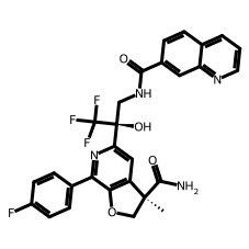 C[C@]1(C(N)=O)COc2c1cc([C@@](O)(CNC(=O)c1ccc3cccnc3c1)C(F)(F)F)nc2-c1ccc(F)cc1